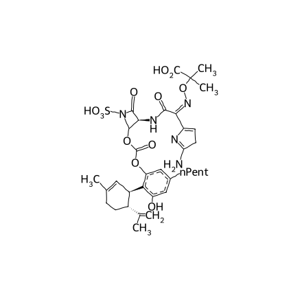 C=C(C)[C@@H]1CCC(C)=C[C@H]1c1c(O)cc(CCCCC)cc1OC(=O)OC1[C@H](NC(=O)/C(=N\OC(C)(C)C(=O)O)C2=CCC(N)=N2)C(=O)N1S(=O)(=O)O